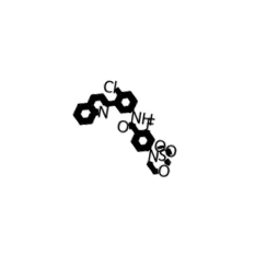 O=C(Nc1ccc(Cl)c(-c2ccc3ccccc3n2)c1)c1ccc(N2CCOCS2(=O)=O)cc1F